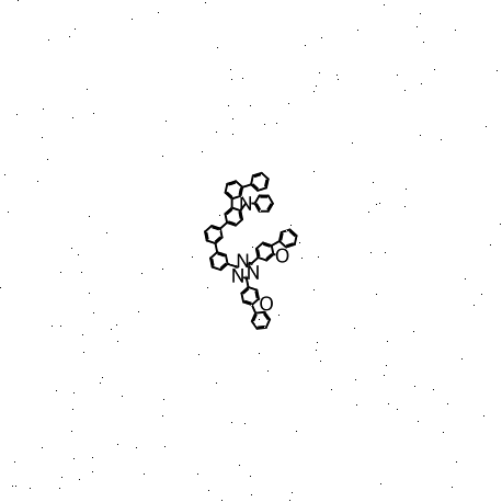 c1ccc(-c2cccc3c4cc(-c5cccc(-c6cccc(-c7nc(-c8ccc9c(c8)oc8ccccc89)nc(-c8ccc9c(c8)oc8ccccc89)n7)c6)c5)ccc4n(-c4ccccc4)c23)cc1